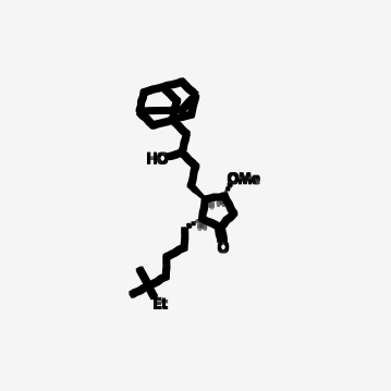 CCC(C)(C)CCCC[C@H]1C(=O)C[C@@H](OC)[C@@H]1CCC(O)CC12CC3CC(CC(C3)C1)C2